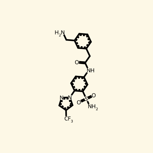 NCc1cccc(CC(=O)Nc2ccc(-n3cc(C(F)(F)F)cn3)c(S(N)(=O)=O)c2)c1